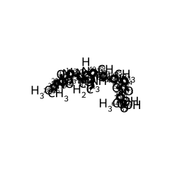 C=CC(=O)Nc1cc(Nc2nc(-c3ccnc(N4CCn5c(cc6c5CC(C)(C)C6)C4=O)c3CO)cn(C)c2=O)ccc1N1CCN(C2CCN(c3cccc4c3C(=O)N(C3CCC(C)(OP(=O)(O)O)CC3)C4=O)[C@@H](C)C2)C[C@@H]1C